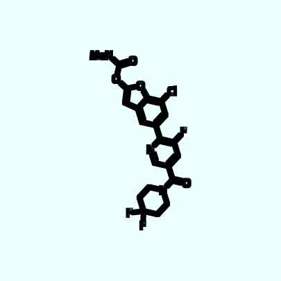 CNC(=O)Oc1cc2cc(-c3ncc(C(=O)N4CCC(F)(F)CC4)cc3F)cc(Cl)c2o1